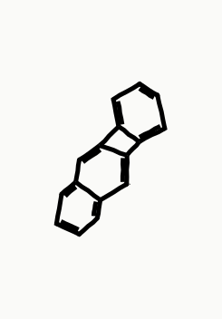 [c]1c2c(cc3ccccc13)-c1ccccc1-2